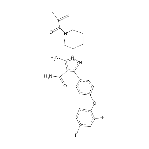 C=C(C)C(=O)N1CCCC(n2nc(-c3ccc(Oc4ccc(F)cc4F)cc3)c(C(N)=O)c2N)C1